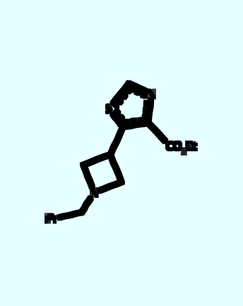 CCOC(=O)c1ncsc1C1CN(CC(C)C)C1